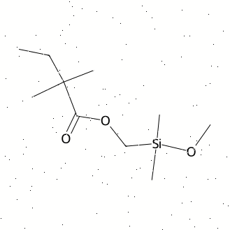 CCC(C)(C)C(=O)OC[Si](C)(C)OC